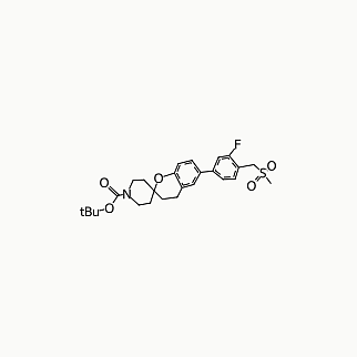 CC(C)(C)OC(=O)N1CCC2(CCc3cc(-c4ccc(CS(C)(=O)=O)c(F)c4)ccc3O2)CC1